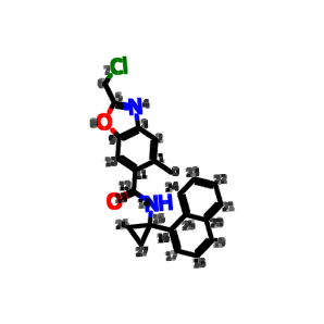 Cc1cc2nc(CCl)oc2cc1C(=O)NC1(c2cccc3ccccc23)CC1